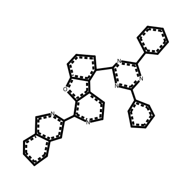 c1ccc(-c2nc(-c3ccccc3)nc(-c3cccc4oc5c(-c6cc7ccccc7cn6)nccc5c34)n2)cc1